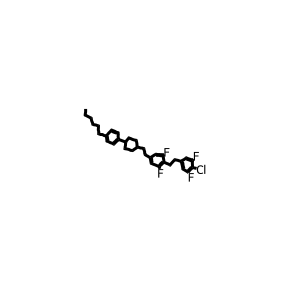 CCCCCCc1ccc(C2CCC(CCc3cc(F)c(CCc4cc(F)c(Cl)c(F)c4)c(F)c3)CC2)cc1